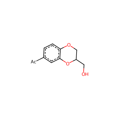 CC(=O)c1ccc2c(c1)OC(CO)CO2